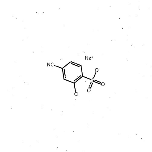 N#Cc1ccc(S(=O)(=O)[O-])c(Cl)c1.[Na+]